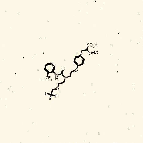 CCOC(Cc1ccc(OCCN(CCOCC(C)(F)F)C(=O)Nc2ccccc2C(F)(F)F)cc1)C(=O)O